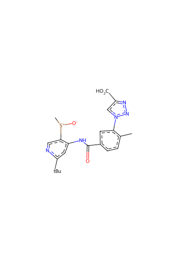 Cc1ccc(C(=O)Nc2cc(C(C)(C)C)ncc2[S+](C)[O-])cc1-n1cc(C(=O)O)nn1